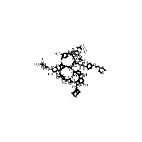 Cc1cc2ccc1Oc1cc3cc(c1O[C@@H]1O[C@H](CNC(=O)OC(C)(C)C)[C@@H](O)[C@H](O)[C@H]1O)Oc1ccc(cc1Cl)[C@@H](O)[C@@H]1NC(=O)[C@H](NC(=O)C3NC(=O)[C@H](CC(=O)NC(=O)Nc3ccc(OCCN4CCOCC4)cc3)NC(=O)[C@H](NC(=O)[C@@H](CC(C)C)N(C)C(=O)OC(C)(C)C)[C@@H]2O)c2ccc(O)c(c2)-c2c(O)cc(O)cc2[C@@H](C(=O)NC2C3CC4CC(C3)CC2C4)NC1=O